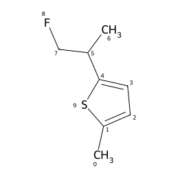 Cc1ccc(C(C)CF)s1